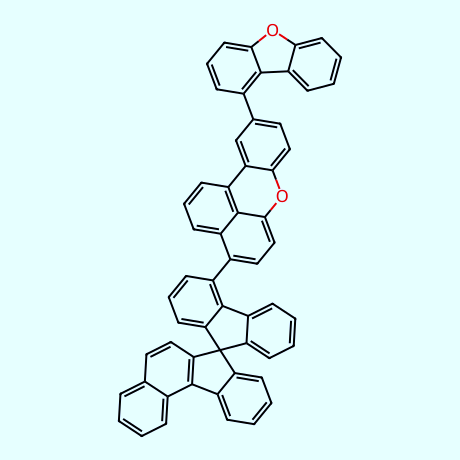 c1ccc2c(c1)-c1c(-c3ccc4c5c(cccc35)-c3cc(-c5cccc6oc7ccccc7c56)ccc3O4)cccc1C21c2ccccc2-c2c1ccc1ccccc21